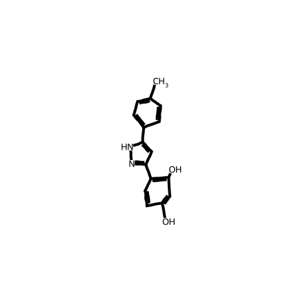 Cc1ccc(-c2cc(-c3ccc(O)cc3O)n[nH]2)cc1